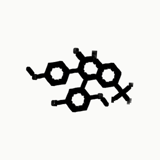 COc1ccc(-c2c(-c3cc(Cl)ccc3OC)c3cc(C(F)(F)F)ccc3[nH]c2=O)cc1